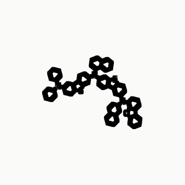 c1ccc(N(c2ccccc2)c2ccc3sc4cc(N(c5ccc6c(c5)sc5ccc(N(c7ccc8ccccc8c7)c7cccc8c7oc7ccccc78)cc56)c5cccc6ccccc56)ccc4c3c2)cc1